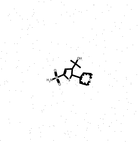 CC(C)(O)C1C=C(S(N)(=O)=O)SC1c1ccccc1